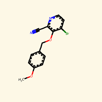 COc1ccc(COc2c(Br)ccnc2C#N)cc1